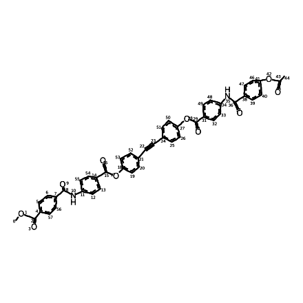 COC(=O)c1ccc(C(=O)Nc2ccc(C(=O)Oc3ccc(C#Cc4ccc(OC(=O)c5ccc(NC(=O)c6ccc(OC(C)=O)cc6)cc5)cc4)cc3)cc2)cc1